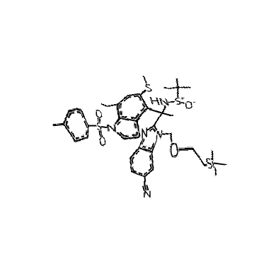 CSc1cc(C)c2c(ccn2S(=O)(=O)c2ccc(C)cc2)c1C(C)(N[S+]([O-])C(C)(C)C)c1nc2ccc(C#N)cc2n1COCC[Si](C)(C)C